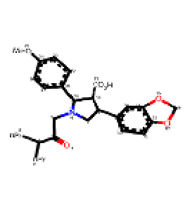 CCCC(CCC)C(=O)CN1CC(c2ccc3c(c2)OCO3)C(C(=O)O)C1c1ccc(OC)cc1